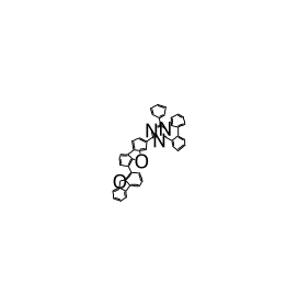 c1ccc(-c2nc(-c3ccc4c(c3)oc3c(-c5cccc6c5oc5ccccc56)cccc34)nc(-c3ccccc3-c3ccccc3)n2)cc1